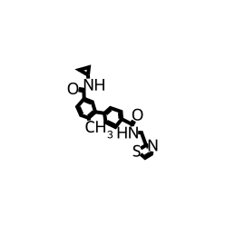 Cc1ccc(C(=O)NC2CC2)cc1-c1ccc(C(=O)NCc2nccs2)cc1